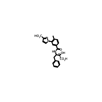 Cc1ccc(C(=O)NC(Cc2ccccc2)[C@@H](O)C(=O)O)cc1-n1ccc(C(=O)O)n1